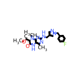 CO[C@@H](C)[C@H]1C(=O)Nc2c(C)nc(NCc3cnn(Cc4ccc(F)cc4)c3)nc2N1C